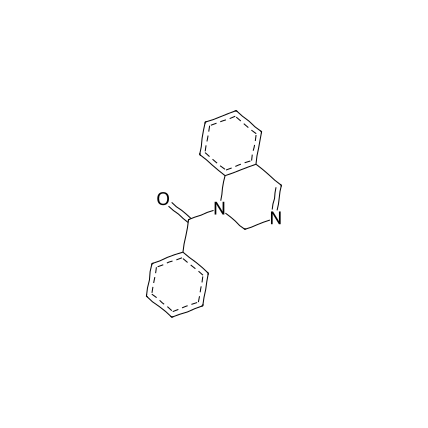 O=C(c1ccccc1)N1CN=Cc2ccccc21